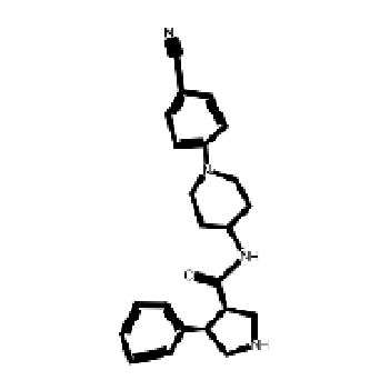 N#Cc1ccc(N2CCC(NC(=O)C3CNC[C@H]3c3ccccc3)CC2)cc1